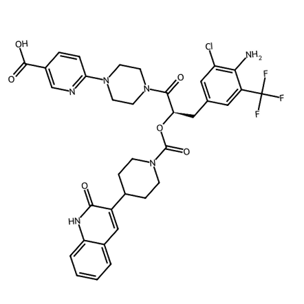 Nc1c(Cl)cc(C[C@@H](OC(=O)N2CCC(c3cc4ccccc4[nH]c3=O)CC2)C(=O)N2CCN(c3ccc(C(=O)O)cn3)CC2)cc1C(F)(F)F